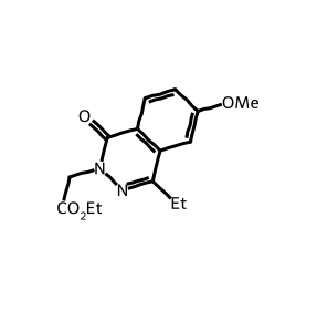 CCOC(=O)Cn1nc(CC)c2cc(OC)ccc2c1=O